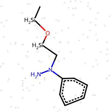 C[SiH2]O[SiH2]CN(N)c1ccccc1